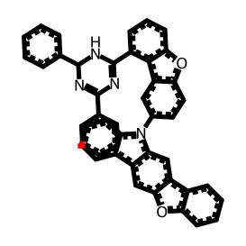 c1ccc(C2=NC(c3ccccc3)NC(c3cccc4oc5ccc(-n6c7ccccc7c7cc8oc9ccccc9c8cc76)cc5c34)=N2)cc1